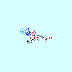 CC(=O)O[C@@H]1[C@@H](Nc2cncc(C(F)(F)F)n2)[C@H]2OC[C@](COCCCCC(=O)O)(O2)[C@@H]1OC(C)=O